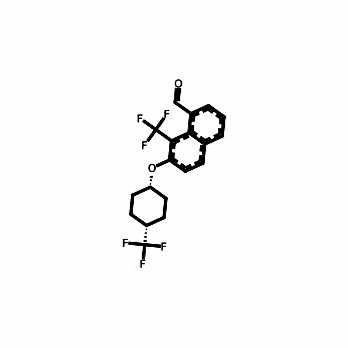 O=Cc1cccc2ccc(O[C@H]3CC[C@@H](C(F)(F)F)CC3)c(C(F)(F)F)c12